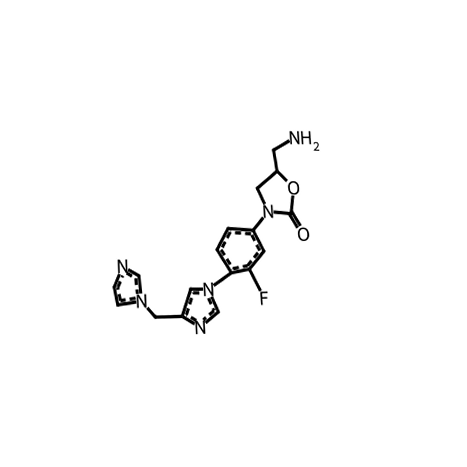 NCC1CN(c2ccc(-n3cnc(Cn4ccnc4)c3)c(F)c2)C(=O)O1